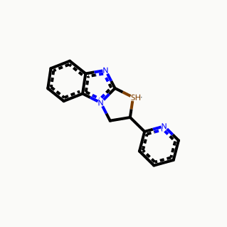 c1ccc(C2Cn3c(nc4ccccc43)[SH]2)nc1